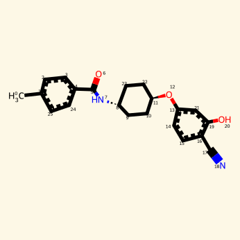 Cc1ccc(C(=O)N[C@H]2CC[C@H](Oc3ccc(C#N)c(O)c3)CC2)cc1